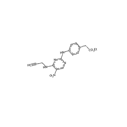 C#CCNc1nc(Nc2ccc(CC(=O)OCC)cc2)ncc1[N+](=O)[O-]